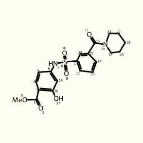 COC(=O)c1ccc(NS(=O)(=O)c2cccc(C(=O)N3CCCCC3)c2)cc1O